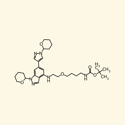 CC(C)(C)OC(=O)NCCCCOCCNc1cc(-c2cnn(C3CCCCO3)c2)cc2c1cnn2C1CCCCO1